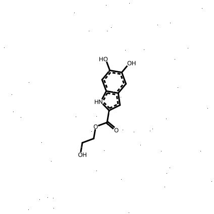 O=C(OCCO)c1cc2cc(O)c(O)cc2[nH]1